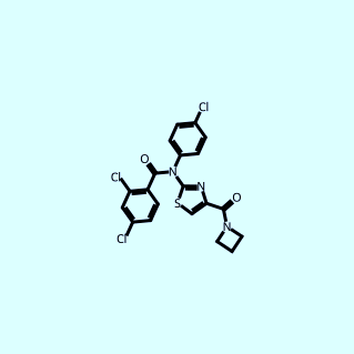 O=C(c1csc(N(C(=O)c2ccc(Cl)cc2Cl)c2ccc(Cl)cc2)n1)N1CCC1